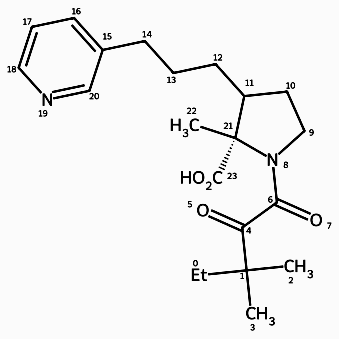 CCC(C)(C)C(=O)C(=O)N1CCC(CCCc2cccnc2)[C@@]1(C)C(=O)O